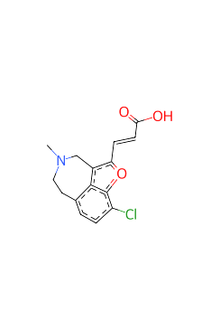 CN1CCc2ccc(Cl)c3oc(/C=C/C(=O)O)c(c23)C1